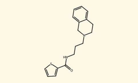 O=C(NCCCN1CCc2ccccc2C1)c1cccs1